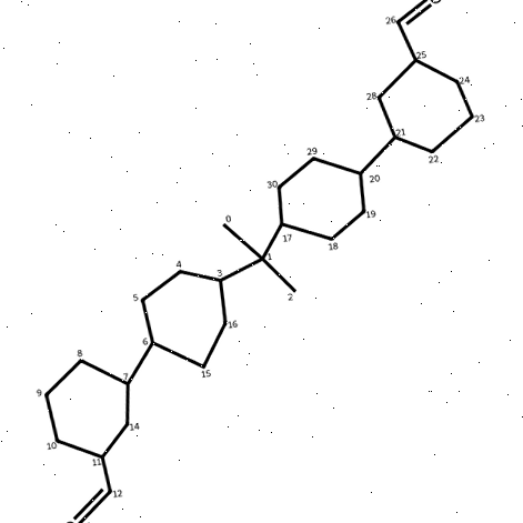 CC(C)(C1CCC(C2CCCC(C=O)C2)CC1)C1CCC(C2CCCC(C=O)C2)CC1